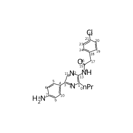 CCCc1nc(-c2ccc(N)cc2)cnc1NC(=O)Cc1ccc(Cl)cc1